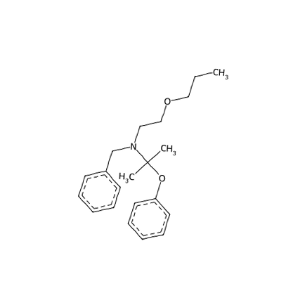 CCCOCCN(Cc1ccccc1)C(C)(C)Oc1ccccc1